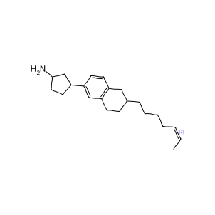 C/C=C\CCCCC1CCc2cc(C3CCC(N)C3)ccc2C1